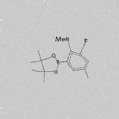 CNc1c(F)cc(C)cc1B1OC(C)(C)C(C)(C)O1